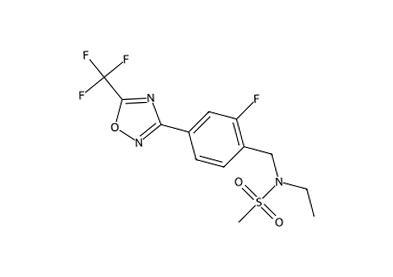 CCN(Cc1ccc(-c2noc(C(F)(F)F)n2)cc1F)S(C)(=O)=O